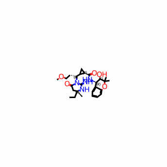 CC[C@]1(C)CC(=O)N([C@H](CCOC)C2C[C@H]2C(=O)N[C@@H]2c3ccccc3OC(C)(C)[C@H]2O)C(=N)N1